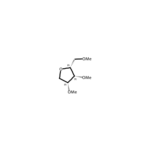 COC[C@H]1OC[C@@H](OC)[C@H]1OC